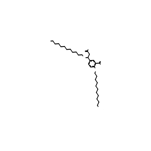 CCCCCCCCCCCCOc1ccc(C(CC(C)=O)OCCCCCCCCCCCC)cc1C(C)=O